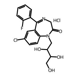 Cl.O=C1CN=C(c2ccccc2F)c2cc(Cl)ccc2N1CC(O)C(O)CO